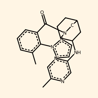 Cc1cnc(NC2CC3CCC2N(C(=O)c2cccc(C)c2-n2nccn2)C3)cn1